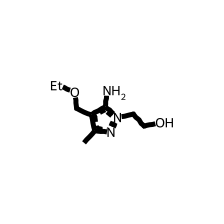 CCOCc1c(C)nn(CCO)c1N